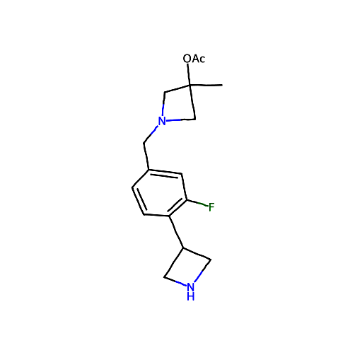 CC(=O)OC1(C)CN(Cc2ccc(C3CNC3)c(F)c2)C1